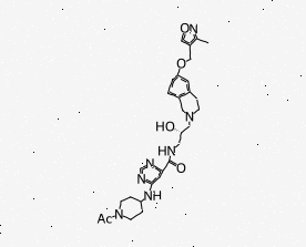 CC(=O)N1CCC(Nc2cc(C(=O)NC[C@H](O)CN3CCc4cc(OCc5conc5C)ccc4C3)ncn2)CC1